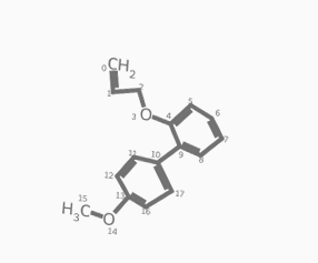 C=CCOc1ccccc1-c1ccc(OC)cc1